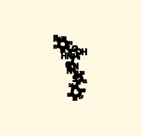 O=C(N[C@@H](CO)c1nc(-c2ccc(-c3ccccc3)s2)no1)c1ccc(F)cc1